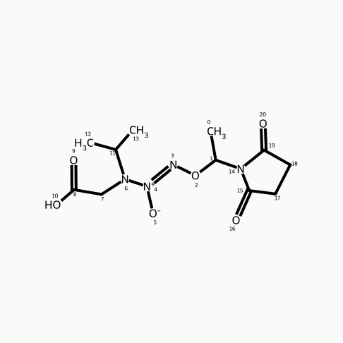 CC(O/N=[N+](\[O-])N(CC(=O)O)C(C)C)N1C(=O)CCC1=O